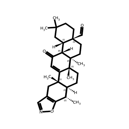 C[C@@H]1c2oncc2C[C@]2(C)C3=CC(=O)[C@@H]4[C@@H]5CC(C)(C)CC[C@]5(C=O)CC[C@@]4(C)[C@]3(C)CC[C@@H]12